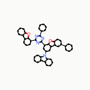 c1ccc(-c2ccc3oc4c(-c5nc(-c6ccccc6)nc(-c6cccc7c6oc6ccccc67)n5)cc(-n5c6ccccc6c6ccccc65)cc4c3c2)cc1